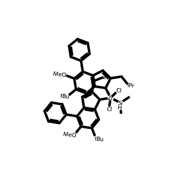 COc1c(C(C)(C)C)cc2c(c1-c1ccccc1)C=C(CC(C)C)[CH]2[Zr]([Cl])([Cl])([CH]1C(CC(C)C)=Cc2c1cc(C(C)(C)C)c(OC)c2-c1ccccc1)[SiH](C)C